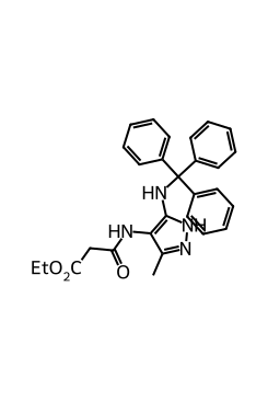 CCOC(=O)CC(=O)Nc1c(C)n[nH]c1NC(c1ccccc1)(c1ccccc1)c1ccccc1